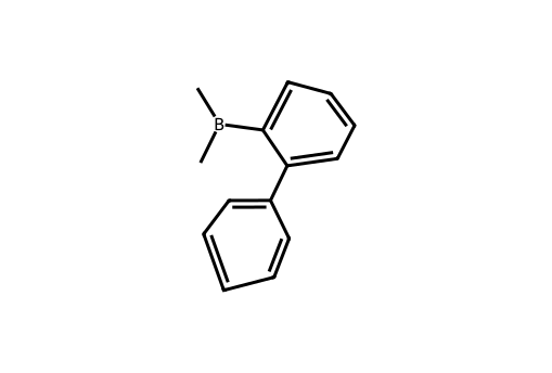 CB(C)c1ccccc1-c1ccccc1